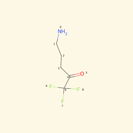 NCCCC(=O)C(F)(F)F